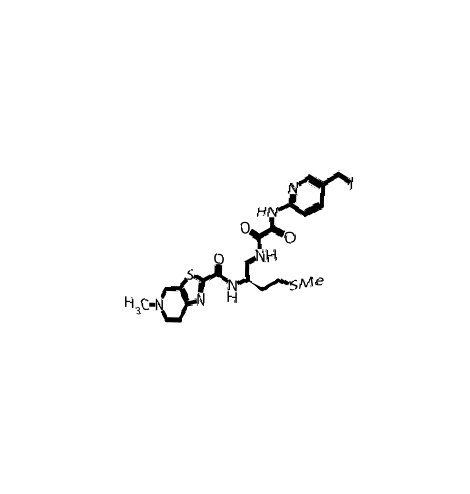 CSCC[C@H](CNC(=O)C(=O)Nc1ccc(CI)cn1)NC(=O)c1nc2c(s1)CN(C)CC2